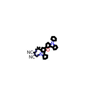 CC1(C)/C=C/C(C#N)=C(C#N)\C=C\n2c3ccccc3c3c4oc5c(ccc6c5c5ccccc5n6-c5ccccc5)c4cc1c32